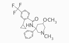 COC1CN(C)CC(NC(=O)c2ccc(C(F)(F)F)cc2C2CC2)(c2ccccc2)C1